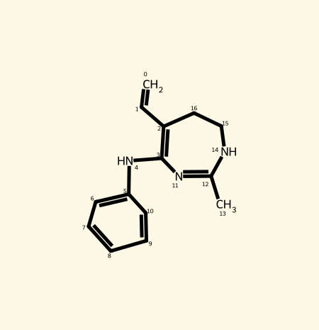 C=CC1=C(Nc2ccccc2)N=C(C)NCC1